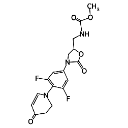 COC(=O)NCC1CN(c2cc(F)c(N3C=CC(=O)CC3)c(F)c2)C(=O)O1